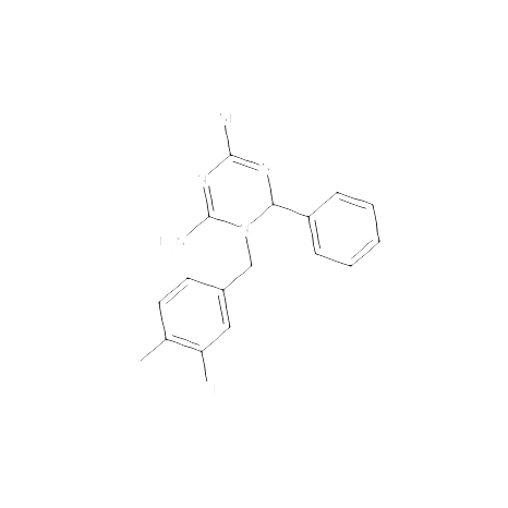 NC1=NC(c2ccccc2)N(Cc2ccc(Cl)c(Cl)c2)C(N)=N1